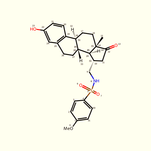 COc1ccc(S(=O)(=O)NC[C@H]2CC(=O)[C@@]3(C)CC[C@@H]4c5ccc(O)cc5CC[C@H]4[C@H]23)cc1